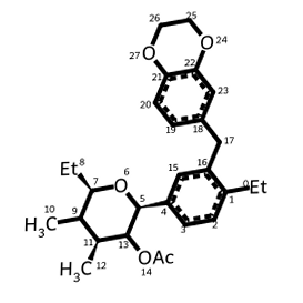 CCc1ccc([C@@H]2O[C@H](CC)C(C)[C@H](C)C2OC(C)=O)cc1Cc1ccc2c(c1)OCCO2